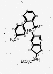 CCOC(=O)NC1Cc2ccc(NC(=O)c3ccccc3-c3ccc(C(F)(F)F)cc3)cc2C1